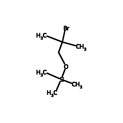 CC(C)(Br)CO[Si](C)(C)C